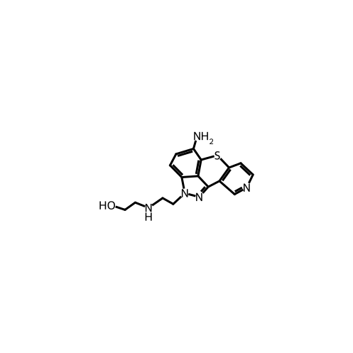 Nc1ccc2c3c(nn2CCNCCO)-c2cnccc2Sc13